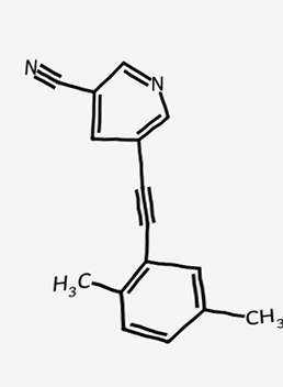 Cc1ccc(C)c(C#Cc2cncc(C#N)c2)c1